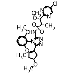 COc1cccc(OC)c1-n1c(NS(=O)(=O)[C@@H](C)[C@H](OC)c2ncc(Cl)cn2)nnc1C1=CC[C@H](OC)C1